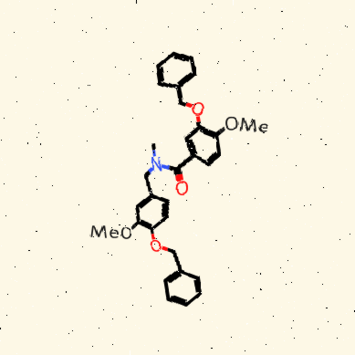 COc1cc(CN(C)C(=O)c2ccc(OC)c(OCc3ccccc3)c2)ccc1OCc1ccccc1